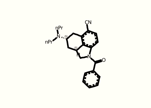 CCCN(CCC)[C@@H]1Cc2c(C#N)ccc3c2[C@H](C1)CN3C(=O)c1ccccc1